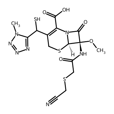 CO[C@@]1(NC(=O)CSCC#N)C(=O)N2C(C(=O)O)=C(C(S)c3nnnn3C)CS[C@@H]21